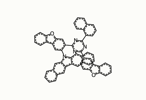 c1ccc2cc3c(cc2c1)c1cc2ccccc2cc1n3-c1cc2c(cc1-c1nc(-c3ccc4oc5ccccc5c4c3)nc(-c3cccc4ccccc34)n1)oc1ccccc12